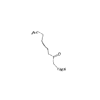 CCCCCCCC(=O)CCCCC(C)=O